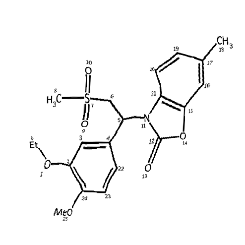 CCOc1cc(C(CS(C)(=O)=O)n2c(=O)oc3cc(C)ccc32)ccc1OC